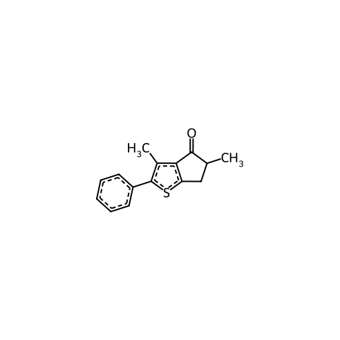 Cc1c(-c2ccccc2)sc2c1C(=O)C(C)C2